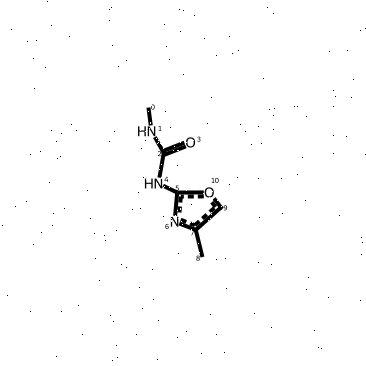 CNC(=O)Nc1nc(C)co1